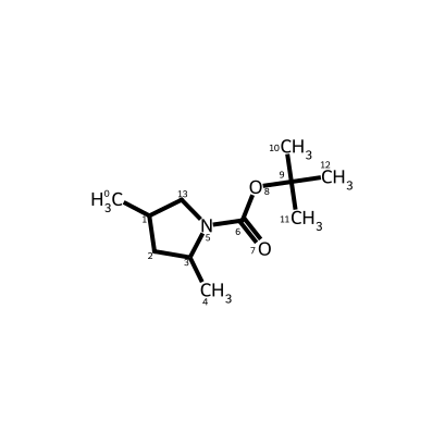 CC1CC(C)N(C(=O)OC(C)(C)C)C1